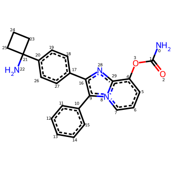 NC(=O)Oc1cccn2c(-c3ccccc3)c(-c3ccc(C4(N)CCC4)cc3)nc12